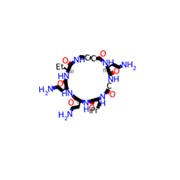 CC[C@@H]1NC(=O)[C@H](CCN)NC(=O)[C@H](CCN)NC(=O)[C@H](CC(C)C)NC(=O)CNC(=O)[C@H](CCN)NC(=O)CCCNC1=O